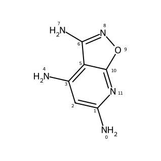 Nc1cc(N)c2c(N)noc2n1